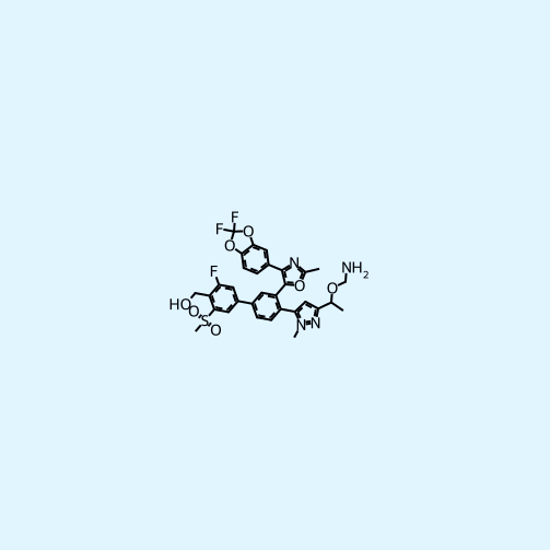 Cc1nc(-c2ccc3c(c2)OC(F)(F)O3)c(-c2cc(-c3cc(F)c(CO)c(S(C)(=O)=O)c3)ccc2-c2cc(C(C)OCN)nn2C)o1